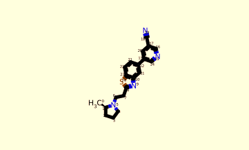 C[C@@H]1CCCN1CCc1nc2cc(-c3cncc(C#N)c3)ccc2s1